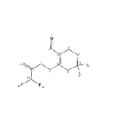 C=C(CCC1=C(C=O)CCC(C)(C)C1)C(F)F